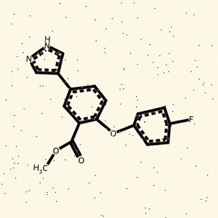 COC(=O)c1cc(-c2cn[nH]c2)ccc1Oc1ccc(F)cc1